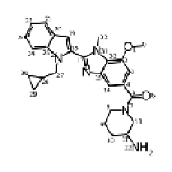 COc1cc(C(=O)N2CCCC(N)C2)cc2nc(-c3cc4ccccc4n3CC3CC3)n(C)c12